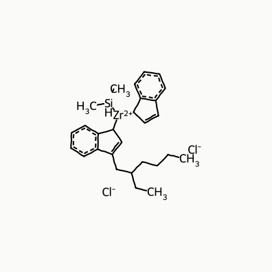 CCCCC(CC)CC1=C[CH]([Zr+2]([CH]2C=Cc3ccccc32)[SiH](C)C)c2ccccc21.[Cl-].[Cl-]